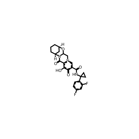 O=C(NC1(c2ccc(F)cc2F)CC1)c1cn2c(c(O)c1=O)C(=O)N1C(C2)O[C@@H]2CCC[C@@H]1C2